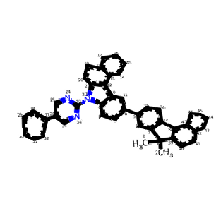 CC1(C)c2cc(-c3ccc4c(c3)c3c5ccccc5ccc3n4-c3ncc(-c4ccccc4)cn3)ccc2-c2c1ccc1ccccc21